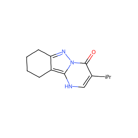 CC(C)c1c[nH]c2c3c(nn2c1=O)CCCC3